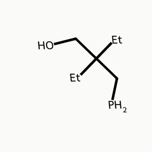 CCC(CC)(CO)CP